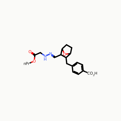 CCCOC(=O)CNN=CC1C2CCC(O2)C1Cc1ccc(C(=O)O)cc1